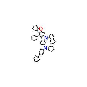 c1ccc(-c2ccc(N(c3ccccc3)c3ccc4c5c(-c6ccccc6)c6c(cc5n(-c5cccc7ccccc57)c4c3)oc3ccccc36)cc2)cc1